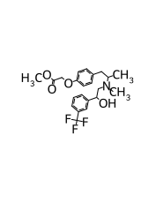 COC(=O)COc1ccc(CC(C)N(C)CC(O)c2cccc(C(F)(F)F)c2)cc1